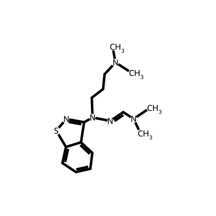 CN(C)C=NN(CCCN(C)C)c1nsc2ccccc12